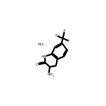 Cl.NC1Cc2ccc(C(F)(F)F)cc2NC1=O